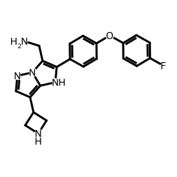 NCc1c(-c2ccc(Oc3ccc(F)cc3)cc2)[nH]c2c(C3CNC3)cnn12